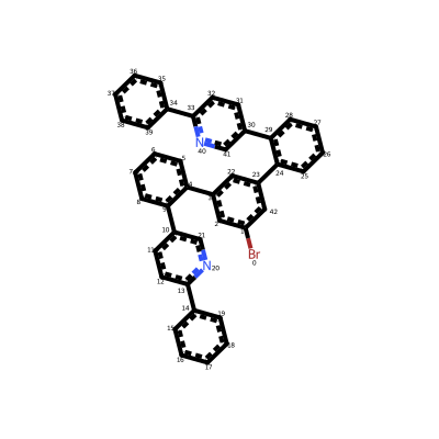 Brc1cc(-c2ccccc2-c2ccc(-c3ccccc3)nc2)cc(-c2ccccc2-c2ccc(-c3ccccc3)nc2)c1